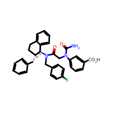 NC(=O)N(CC(=O)N(Cc1ccc(F)cc1)[C@@H]1c2ccccc2CC[C@H]1Cc1ccccc1)c1cccc(C(=O)O)c1